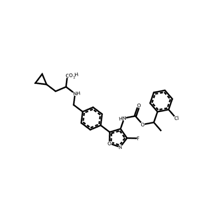 CC(OC(=O)Nc1c(F)noc1-c1ccc(CNC(CC2CC2)C(=O)O)cc1)c1ccccc1Cl